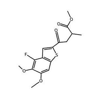 COC(=O)C(C)CC(=O)c1cc2c(F)c(OC)c(OC)cc2s1